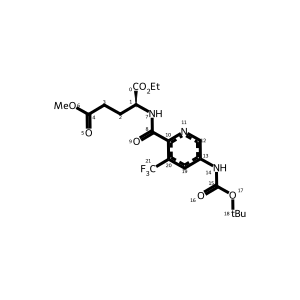 CCOC(=O)[C@H](CCC(=O)OC)NC(=O)c1ncc(NC(=O)OC(C)(C)C)cc1C(F)(F)F